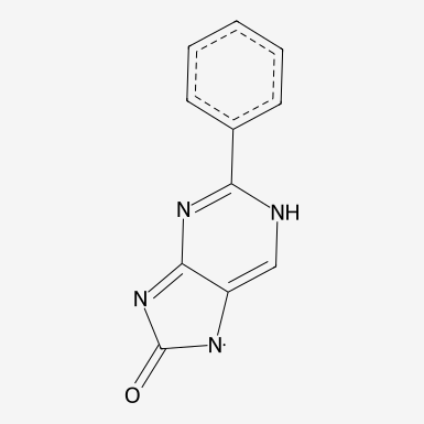 O=C1[N]C2=CNC(c3ccccc3)=NC2=N1